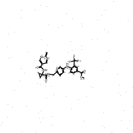 C=C/N=C\C(=C/N)C(=O)NC1(C(=O)NCc2ccc(Nc3ccc(C(=O)OC)cc3C(F)(F)F)cn2)CC1